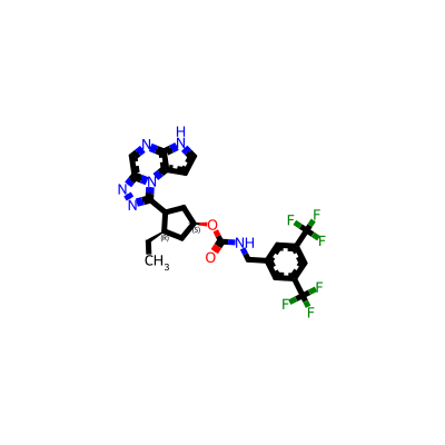 CC[C@@H]1C[C@H](OC(=O)NCc2cc(C(F)(F)F)cc(C(F)(F)F)c2)CC1c1nnc2cnc3[nH]ccc3n12